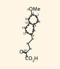 COc1ccc2cc(CCCC(=O)C(=O)O)ccc2c1